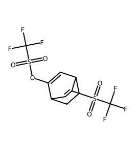 O=S(=O)(OC1=CC2CCC1C=C2S(=O)(=O)C(F)(F)F)C(F)(F)F